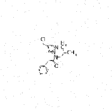 CC(C)CN(C(=O)Cc1ccccc1)n1cc(CCl)[c]n1